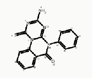 Nc1nc(=S)n2c3ccccc3c(=O)n(-c3ccccc3)c2n1